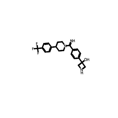 N=C(c1ccc(C2(O)CNC2)cc1)N1CCC(c2ccc(C(F)(F)F)cc2)CC1